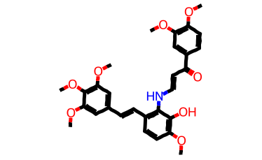 COc1ccc(C(=O)C=CNc2c(C=Cc3cc(OC)c(OC)c(OC)c3)ccc(OC)c2O)cc1OC